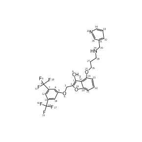 Cc1c(COc2cc(C(F)(F)F)cc(C(F)(F)F)c2)oc2cccc(OCCCNCc3cccnc3)c12